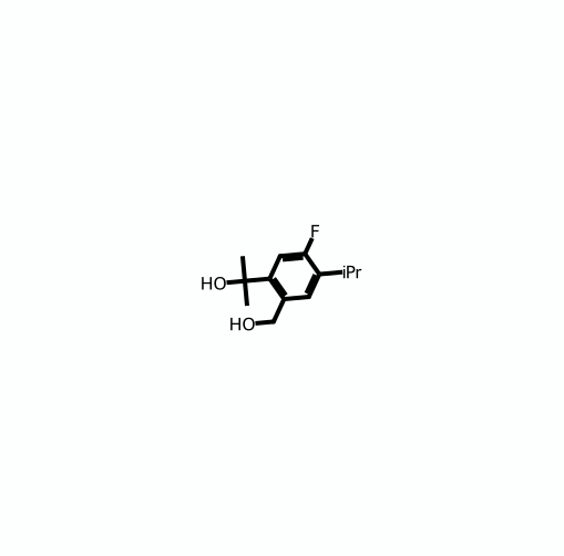 CC(C)c1cc(CO)c(C(C)(C)O)cc1F